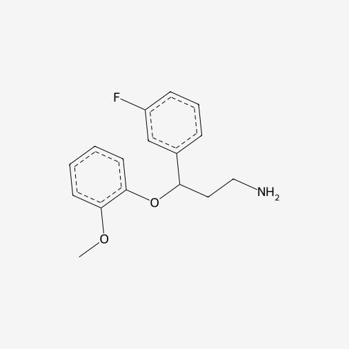 COc1ccccc1OC(CCN)c1cccc(F)c1